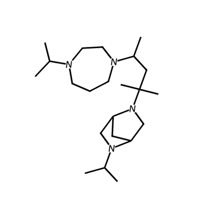 CC(C)N1CCCN(C(C)CC(C)(C)N2CC3CC2CN3C(C)C)CC1